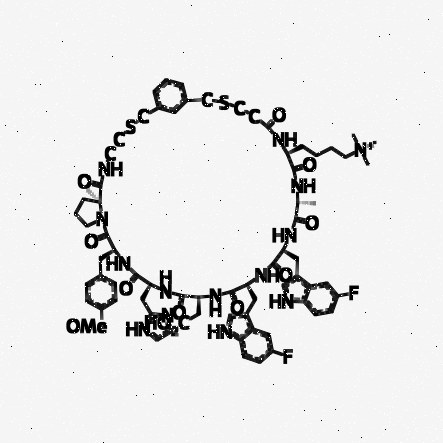 COc1ccc(C[C@@H]2NC(=O)[C@H](Cc3ncc[nH]3)NC(=O)[C@H](CC(=O)O)NC(=O)[C@H](Cc3c[nH]c4ccc(F)cc34)NC(=O)[C@H](Cc3c[nH]c4ccc(F)cc34)NC(=O)[C@@H](C)NC(=O)[C@H](CCCC[N+](C)(C)C)NC(=O)CCSCc3cccc(c3)CSCCNC(=O)[C@]3(C)CCCN3C2=O)cc1